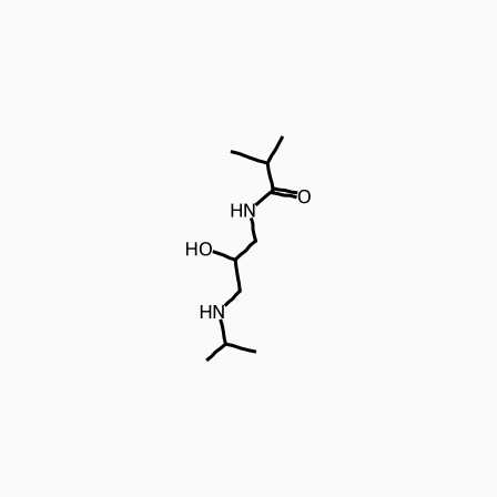 CC(C)NCC(O)CNC(=O)C(C)C